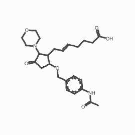 CC(=O)Nc1ccc(COC2CC(=O)C(N3CCOCC3)C2CC=CCCCC(=O)O)cc1